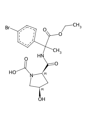 CCOC(=O)C(C)(NC(=O)[C@H]1C[C@@H](O)CN1C(=O)O)c1ccc(Br)cc1